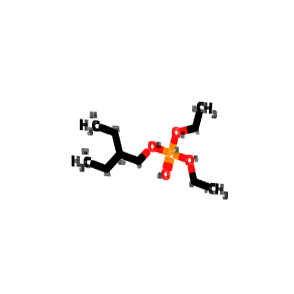 CCOP(=O)(OCC)OCC(CC)CC